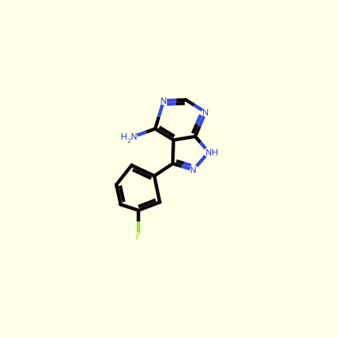 Nc1ncnc2[nH]nc(-c3cc[c]c(F)c3)c12